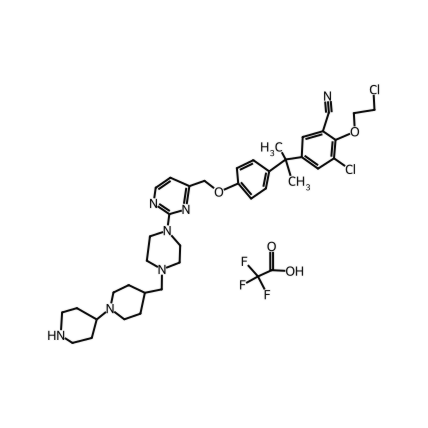 CC(C)(c1ccc(OCc2ccnc(N3CCN(CC4CCN(C5CCNCC5)CC4)CC3)n2)cc1)c1cc(Cl)c(OCCCl)c(C#N)c1.O=C(O)C(F)(F)F